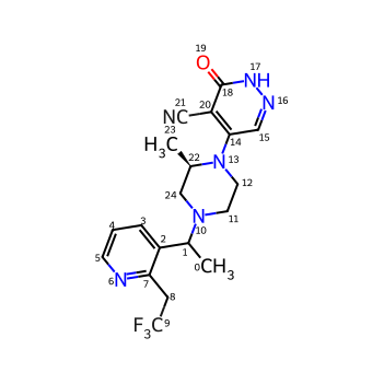 CC(c1cccnc1CC(F)(F)F)N1CCN(c2cn[nH]c(=O)c2C#N)[C@H](C)C1